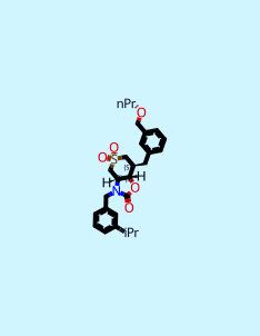 CCCOCc1cccc(C[C@@H]2CS(=O)(=O)C[C@H]3[C@H]2OC(=O)N3Cc2cccc(C(C)C)c2)c1